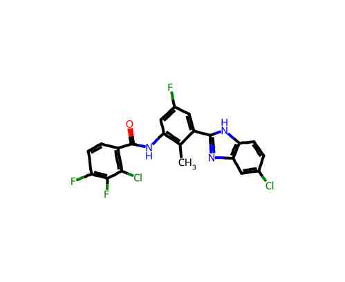 Cc1c(NC(=O)c2ccc(F)c(F)c2Cl)cc(F)cc1-c1nc2cc(Cl)ccc2[nH]1